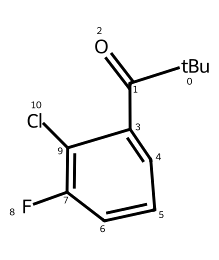 CC(C)(C)C(=O)c1cccc(F)c1Cl